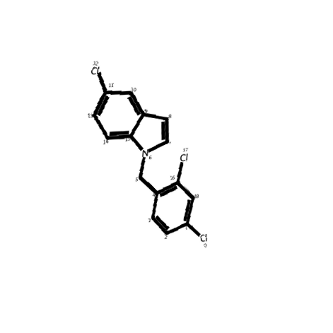 Clc1ccc(Cn2[c]cc3cc(Cl)ccc32)c(Cl)c1